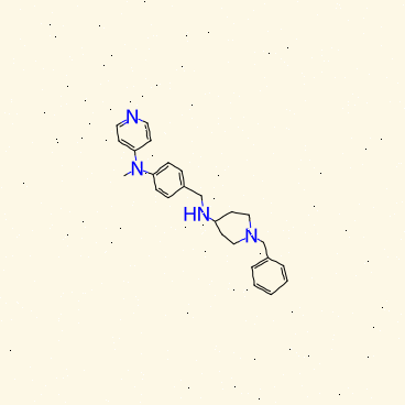 CN(c1ccncc1)c1ccc(CNC2CCN(Cc3ccccc3)CC2)cc1